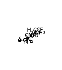 C[C@@H](NS(=O)(=O)c1ccc(-c2c(C#N)c3cc(-c4cccs4)cnc3n2C2CCC2)nc1)C(F)(F)F